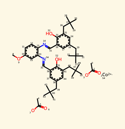 CC(=O)[O-].CC(=O)[O-].COc1ccc(N=Cc2cc(CC(C)(C)C)cc(CC(C)(C)C)c2O)c(N=Cc2cc(CC(C)(C)C)cc(CC(C)(C)C)c2O)c1.[Co+2]